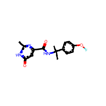 Cc1nc(C(=O)NC(C)(C)c2ccc(OF)cc2)cc(=O)[nH]1